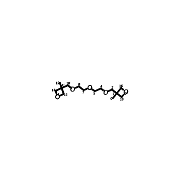 CC1(COCCOCCOCC2(C)COC2)COC1